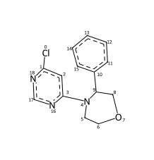 Clc1cc(N2CCOCC2c2ccccc2)ncn1